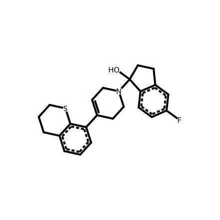 OC1(N2CC=C(c3cccc4c3SCCC4)CC2)CCc2cc(F)ccc21